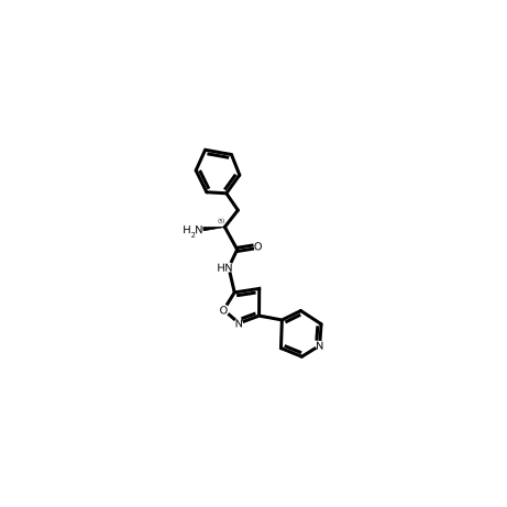 N[C@@H](Cc1ccccc1)C(=O)Nc1cc(-c2ccncc2)no1